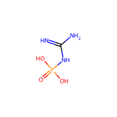 N=C(N)NP(=O)(O)O